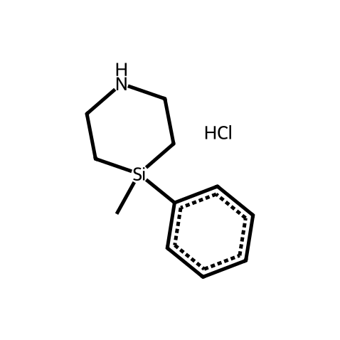 C[Si]1(c2ccccc2)CCNCC1.Cl